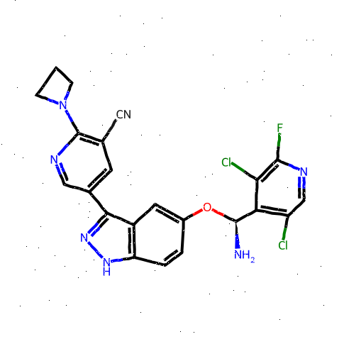 N#Cc1cc(-c2n[nH]c3ccc(O[C@H](N)c4c(Cl)cnc(F)c4Cl)cc23)cnc1N1CCC1